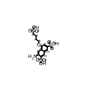 Nc1cc2c(OCCCCS(=O)(=O)O)cc(S(=O)(=O)O)cc2cc1S(=O)(=O)O